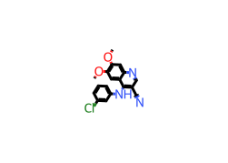 COc1cc2ncc(C#N)c(Nc3cccc(Cl)c3)c2cc1OC